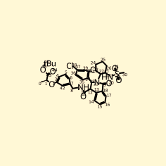 C[C@H](Oc1cccc(CNC(=O)C2c3ccccc3C(=O)N(C3CCCCC3NS(C)(=O)=O)C2c2ccc(Cl)cc2Cl)c1)C(=O)OC(C)(C)C